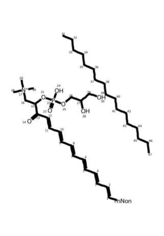 CCCCCCCCCC=CC=CC=CC=CC=CC=CC(=O)C(C[N+](C)(C)C)OP(=O)(O)OCC(O)CO.CCCCCCCCCCCCCCCCC